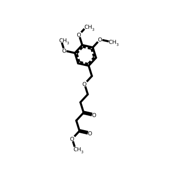 COC(=O)CC(=O)CCOCc1cc(OC)c(OC)c(OC)c1